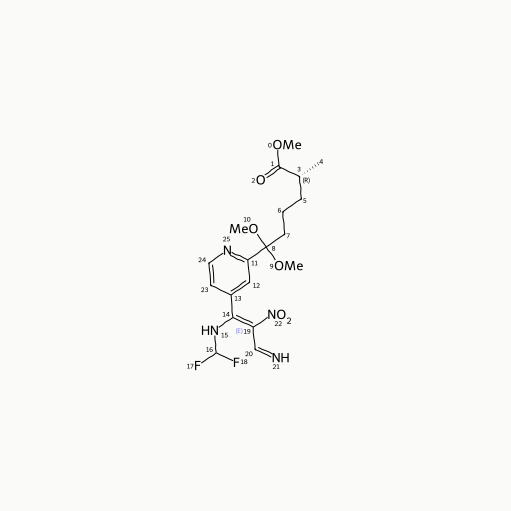 COC(=O)[C@H](C)CCCC(OC)(OC)c1cc(/C(NC(F)F)=C(/C=N)[N+](=O)[O-])ccn1